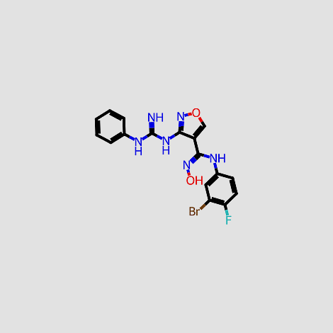 N=C(Nc1ccccc1)Nc1nocc1/C(=N/O)Nc1ccc(F)c(Br)c1